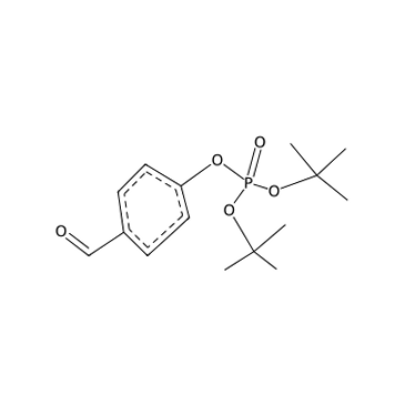 CC(C)(C)OP(=O)(Oc1ccc(C=O)cc1)OC(C)(C)C